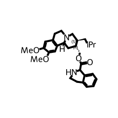 COc1cc2c(cc1OC)[C@H]1C[C@@H](COC(=O)C3NCCc4ccccc43)[C@H](CC(C)C)CN1CC2